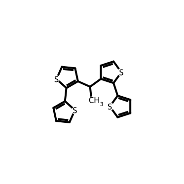 CC(c1ccsc1-c1cccs1)c1ccsc1-c1cccs1